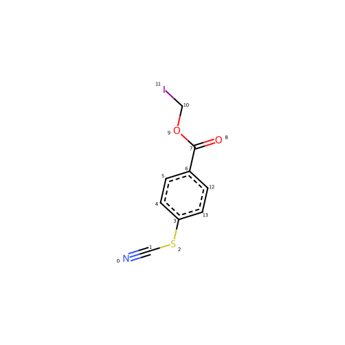 N#CSc1ccc(C(=O)OCI)cc1